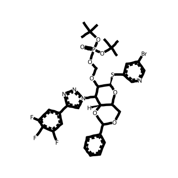 CC(C)(C)OP(=O)(OCOC1C(n2cc(-c3cc(F)c(F)c(F)c3)nn2)[C@H]2OC(c3ccccc3)OCC2O[C@@H]1Sc1cncc(Br)c1)OC(C)(C)C